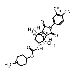 CN1CCC(OC(=O)N[C@@H]2C[C@]3(C)O[C@@]2(C)[C@@H]2C(=O)N(c4ccc(C#N)c(C(F)(F)F)c4)C(=O)[C@@H]23)CC1